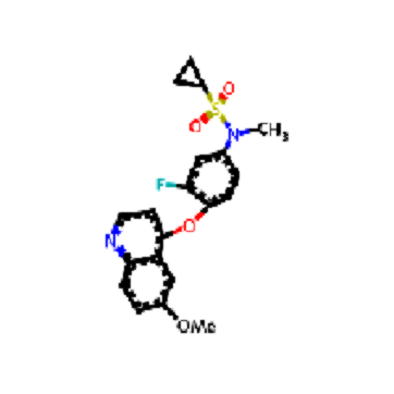 COc1ccc2nccc(Oc3ccc(N(C)S(=O)(=O)C4CC4)cc3F)c2c1